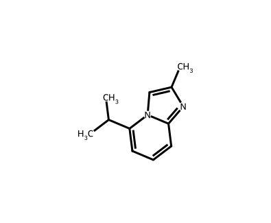 Cc1cn2c(C(C)C)cccc2n1